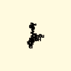 C=C(C)C(=O)OCCCc1cc(CCCC)c(O)c(-n2nc3ccc(Cl)cc3n2)c1